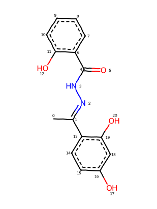 C/C(=N\NC(=O)c1ccccc1O)c1ccc(O)cc1O